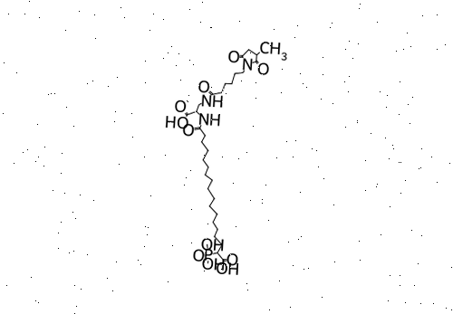 CC1CC(=O)N(CCCCCC(=O)NCC(NC(=O)CCCCCCCCCCCCCCCC(C(=O)O)P(=O)(O)O)C(=O)O)C1=O